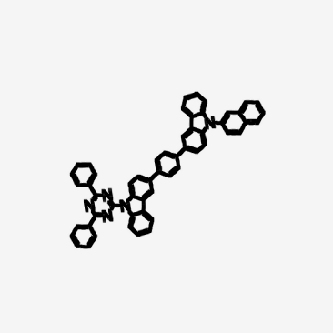 c1ccc(-c2nc(-c3ccccc3)nc(-n3c4ccccc4c4cc(-c5ccc(-c6ccc7c(c6)c6ccccc6n7-c6ccc7ccccc7c6)cc5)ccc43)n2)cc1